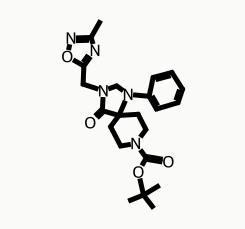 Cc1noc(CN2CN(c3ccccc3)C3(CCN(C(=O)OC(C)(C)C)CC3)C2=O)n1